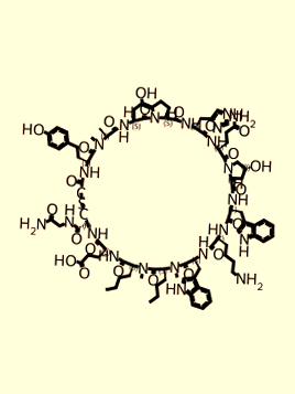 CCCC[C@H]1C(=O)N(C)[C@@H](CCCC)C(=O)N[C@@H](CCC(=O)O)C(=O)N[C@H](C(=O)NCC(N)=O)CSCC(=O)N[C@@H](CCc2ccc(O)cc2)C(=O)N(C)[C@@H](C)C(=O)N[C@H]2CC(O)=C3CC[C@@H](C(=O)N[C@@H](Cc4c[nH]cn4)C(=O)N[C@@H](CCC(N)=O)C(=O)N4C[C@H](O)C[C@H]4C(=O)N[C@@H](Cc4c[nH]c5ccccc45)C(=O)N[C@@H](CCCCN)C(=O)N[C@@H](Cc4c[nH]c5ccccc45)C(=O)N1C)N3C2=O